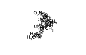 CC(NCc1c(F)cc(Cl)cc1Oc1ccc(-c2cnc(CN(C)C)n2C)cc1)C(=O)NC(CO)C(=O)N(C)C1(Cc2ccc(Cl)cc2)CCCN(S(=O)(=O)c2ccc([N+](=O)[O-])cc2)C1